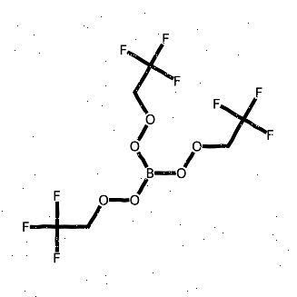 FC(F)(F)COOB(OOCC(F)(F)F)OOCC(F)(F)F